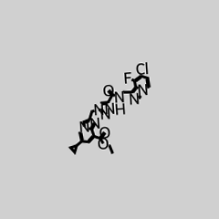 CCOC(=O)c1cc(C2CC2)cn2cc(Cn3cc(C(=O)NCc4ncn5ccc(Cl)c(F)c45)nn3)nc12